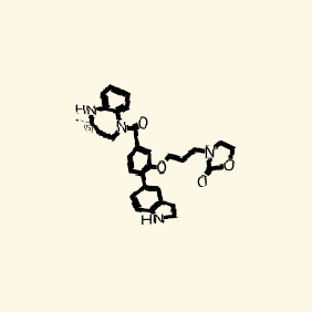 C[C@H]1CCN(C(=O)c2ccc(-c3ccc4c(c3)CCN4)c(OCCCN3CCOC3=O)c2)c2ccccc2N1